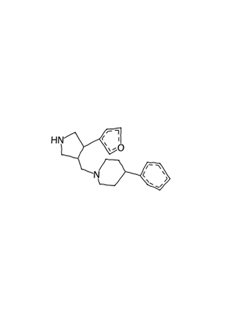 c1ccc(C2CCN(CC3CNCC3c3ccoc3)CC2)cc1